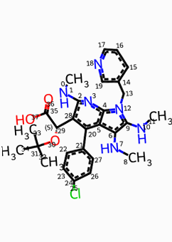 CNc1nc2c(c(NC)c(NC)n2Cc2cccnc2)c(-c2ccc(Cl)cc2)c1[C@H](OC(C)(C)C)C(=O)O